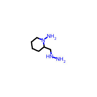 NNCC1CCCCN1N